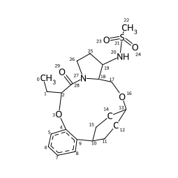 CCC1Oc2ccccc2C2CCC(CC2)OCC2C(NS(C)(=O)=O)CCN2C1=O